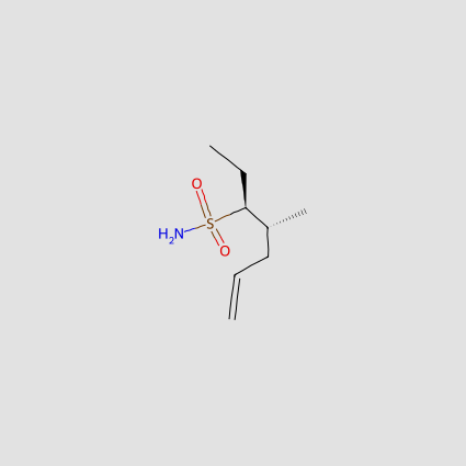 C=CC[C@@H](C)[C@H](CC)S(N)(=O)=O